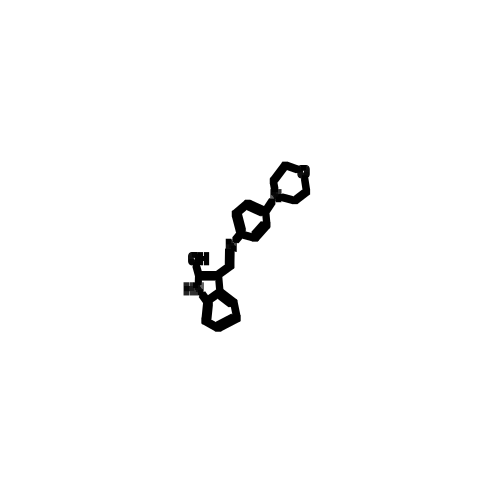 Oc1[nH]c2ccccc2c1C=Nc1ccc(N2CCOCC2)cc1